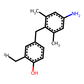 [2H]Cc1cc(Cc2c(C)cc(N)cc2C)ccc1O